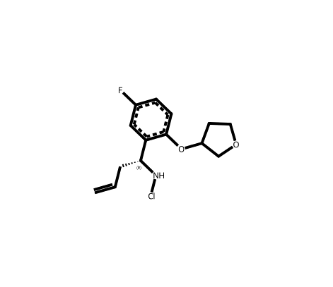 C=CC[C@@H](NCl)c1cc(F)ccc1OC1CCOC1